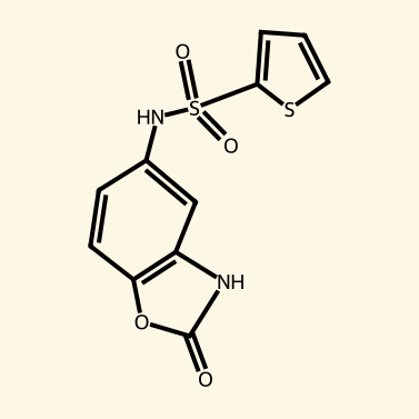 O=c1[nH]c2cc(NS(=O)(=O)c3cccs3)ccc2o1